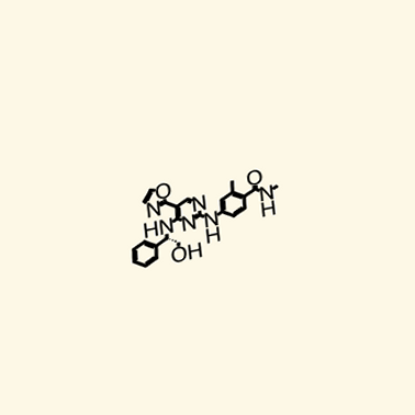 CNC(=O)c1ccc(Nc2ncc(-c3ncco3)c(N[C@H](CO)c3ccccc3)n2)cc1C